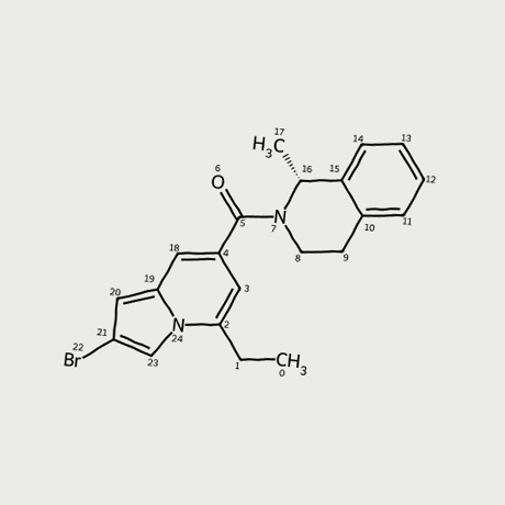 CCc1cc(C(=O)N2CCc3ccccc3[C@H]2C)cc2cc(Br)cn12